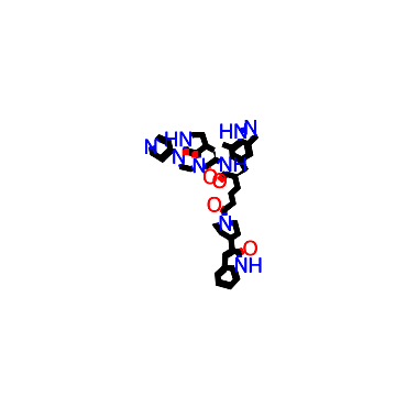 Cc1cc(C[C@@H](CCCC(=O)N2CCC(c3cc4ccccc4[nH]c3=O)CC2)C(=O)N[C@@H](CC2CCNCC2)C(=O)N2CCN(c3ccncc3)CC2)cc2cn[nH]c12